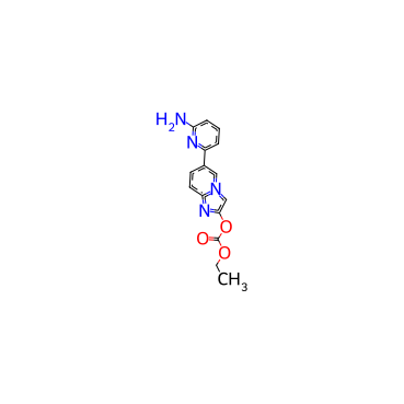 CCOC(=O)Oc1cn2cc(-c3cccc(N)n3)ccc2n1